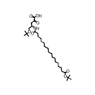 CC(C)(C)OCC(CC(=O)C(=O)O)NC(=O)CCCCCCCCCCCCCCCCC(=O)OC(C)(C)C